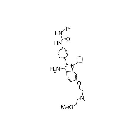 COCCN(C)CCOc1ccc2c(N)c(-c3ccc(NC(=O)NC(C)C)cc3)n(C3CCC3)c2c1